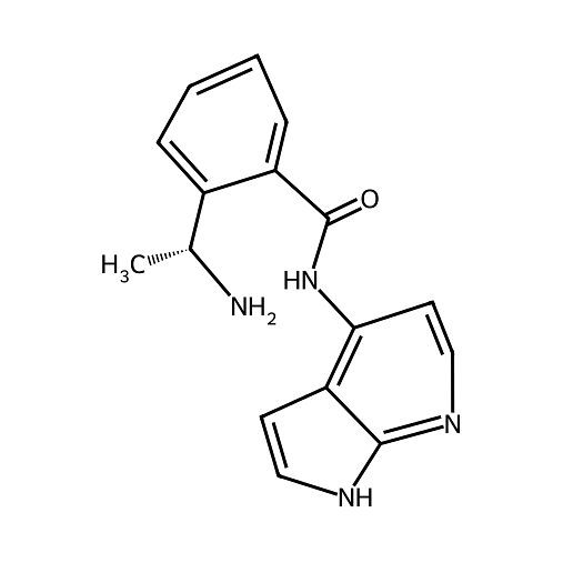 C[C@@H](N)c1ccccc1C(=O)Nc1ccnc2[nH]ccc12